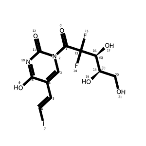 O=C(n1cc(C=CI)c(O)nc1=O)C(F)(F)[C@@H](O)[C@H](O)CO